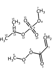 C=CC(=O)OOC.COS(=O)(=O)O[SiH](C)C